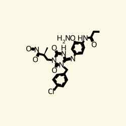 CCC(=O)Nc1ccc(/N=c2\[nH]c(=O)n(C[C@H](C)C(=O)N=O)c(=O)n2Cc2ccc(Cl)cc2)cc1ON